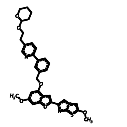 COc1cc(OCc2cccc(-c3ccc(CCOC4CCCCO4)cn3)c2)c2cc(-c3cn4cc(OC)sc4n3)oc2c1